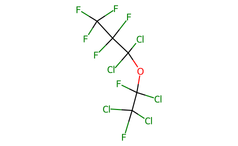 FC(F)(F)C(F)(F)C(Cl)(Cl)OC(F)(Cl)C(F)(Cl)Cl